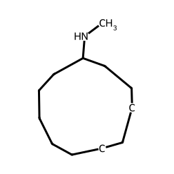 CNC1CCCCCCCCCC1